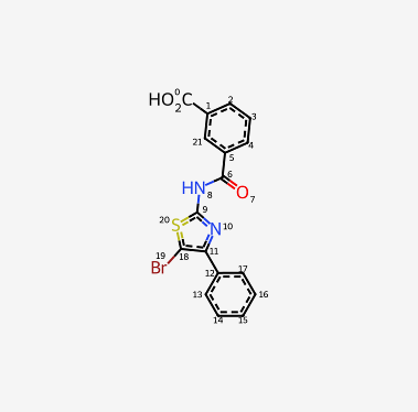 O=C(O)c1cccc(C(=O)Nc2nc(-c3ccccc3)c(Br)s2)c1